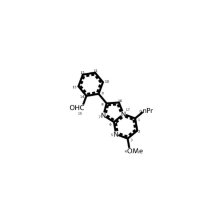 CCCc1cc(OC)nc2nc(-c3ccccc3C=O)cn12